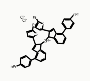 CCCc1ccc(-c2cccc3c2C=C(c2ccc(CC)s2)[CH]3[Zr+2][CH]2C(c3ccc(CC)s3)=Cc3c(-c4ccc(CCC)cc4)cccc32)cc1.[Cl-].[Cl-]